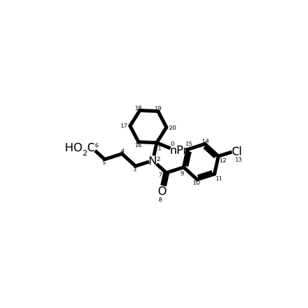 CCCC1(N(CCCC(=O)O)C(=O)c2ccc(Cl)cc2)CCCCC1